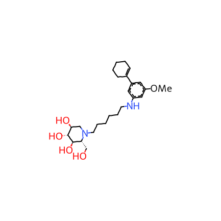 COc1cc(NCCCCCCN2C[C@H](O)[C@@H](O)[C@H](O)[C@H]2CO)cc(C2=CCCCC2)c1